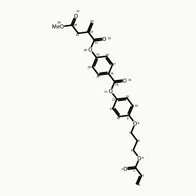 C=CC(=O)OCCCOc1ccc(OC(=O)c2ccc(OC(=O)C(=C)CC(=O)OC)cc2)cc1